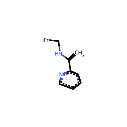 C=C(NCC(C)C)c1ccccn1